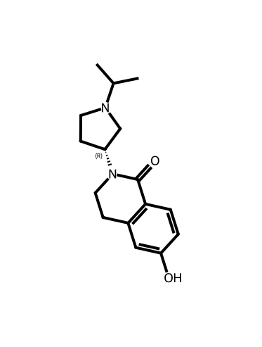 CC(C)N1CC[C@@H](N2CCc3cc(O)ccc3C2=O)C1